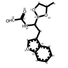 CC1COB(C(Cc2coc3ccccc23)NC(=O)C=O)O1